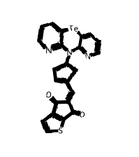 O=C1/C(=C\C2=CC=C(N3c4ncccc4[Te]c4cccnc43)C2)C(=O)c2sccc21